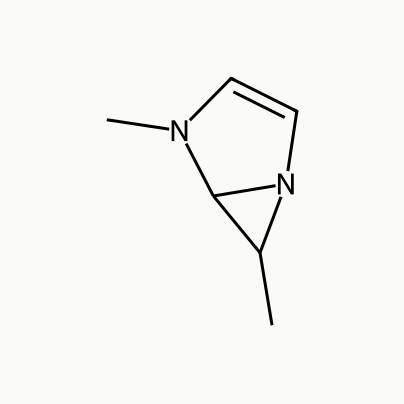 CC1C2N(C)C=CN12